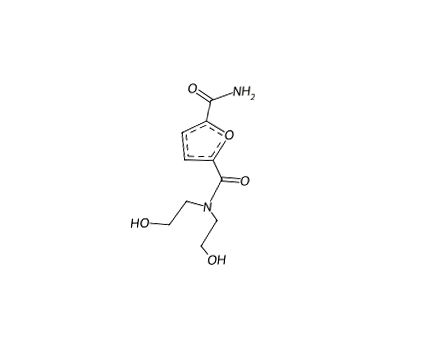 NC(=O)c1ccc(C(=O)N(CCO)CCO)o1